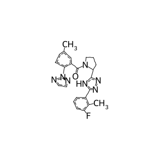 Cc1ccc(-n2nccn2)c(C(=O)N2CCCC2c2nnc(-c3cccc(F)c3C)[nH]2)c1